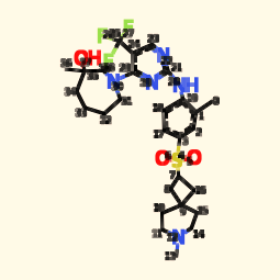 Cc1cc(S(=O)(=O)C2CC3(CCN(C)CC3)C2)ccc1Nc1ncc(C(F)(F)F)c(N2CCCCC(C)(O)C2)n1